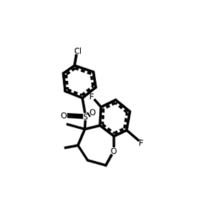 CC1CCOc2c(F)ccc(F)c2C1(C)S(=O)(=O)c1ccc(Cl)cc1